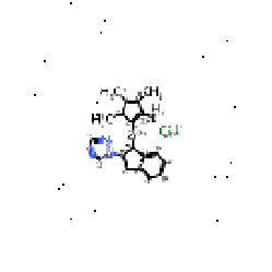 CC1=C(C)C(C)[C]([Zr+2][CH]2C(n3cncn3)=Cc3ccccc32)=C1C.[Cl-].[Cl-]